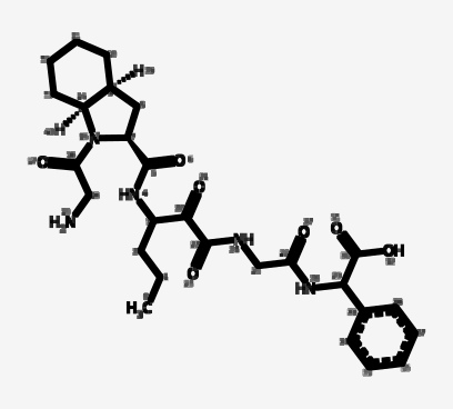 CCCC(NC(=O)[C@@H]1C[C@@H]2CCCC[C@@H]2N1C(=O)CN)C(=O)C(=O)NCC(=O)NC(C(=O)O)c1ccccc1